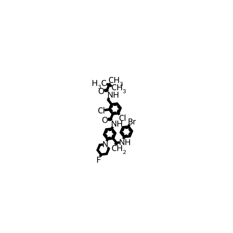 C=C(Nc1ccc(Br)cc1)c1cc(NC(=O)c2c(Cl)ccc(CNC(=O)C(C)(C)C)c2Cl)ccc1N1CCC(F)CC1